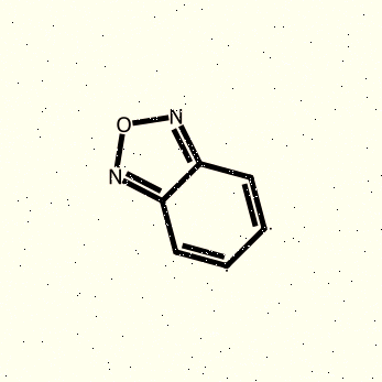 [c]1[c]cc2nonc2c1